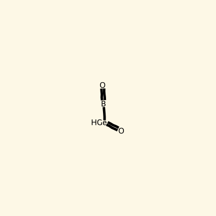 O=[B][GeH]=[O]